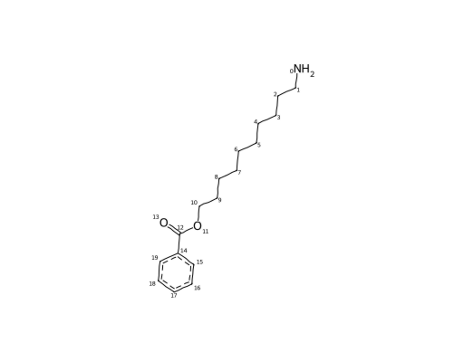 NCCCCCCCCCCOC(=O)c1ccccc1